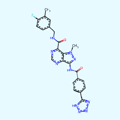 Cc1cc(CNC(=O)c2ncnc3c(NC(=O)c4ccc(-c5nnn[nH]5)cc4)nn(C)c23)ccc1F